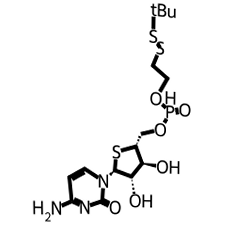 CC(C)(C)SSCCO[PH](=O)OC[C@H]1S[C@@H](n2ccc(N)nc2=O)[C@@H](O)[C@@H]1O